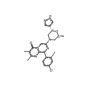 Cc1nc2c(-c3ccc(Cl)cc3F)nc(N3C[C@H](C)O[C@@H](c4cn[nH]c4)C3)cn2c(=O)c1C